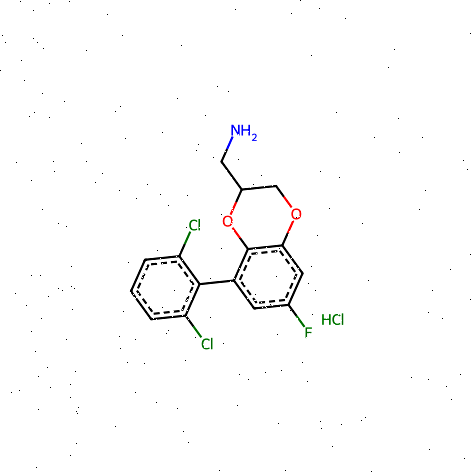 Cl.NCC1COc2cc(F)cc(-c3c(Cl)cccc3Cl)c2O1